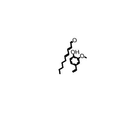 C=Cc1ccc(O)c(OC)c1.CCCCCC=CC=CC=O